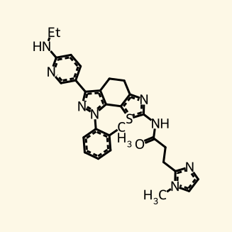 CCNc1ccc(-c2nn(-c3ccccc3C)c3c2CCc2nc(NC(=O)CCc4nccn4C)sc2-3)cn1